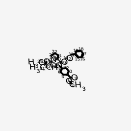 COC(=O)C1CCC(OC(OCOCc2ccccc2)[C@@H]2CCCN2C(=O)OC(C)(C)C)CC1